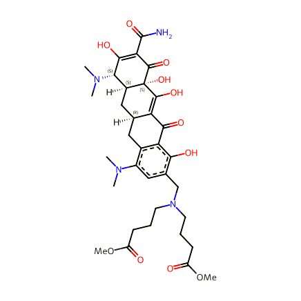 COC(=O)CCCN(CCCC(=O)OC)Cc1cc(N(C)C)c2c(c1O)C(=O)C1=C(O)[C@]3(O)C(=O)C(C(N)=O)=C(O)[C@@H](N(C)C)[C@@H]3C[C@@H]1C2